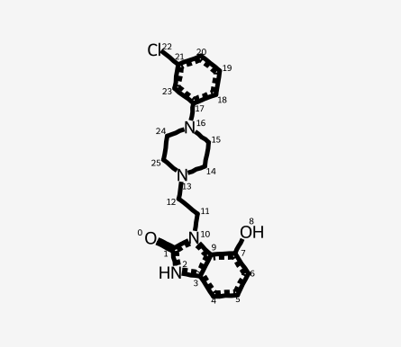 O=c1[nH]c2cccc(O)c2n1CCN1CCN(c2cccc(Cl)c2)CC1